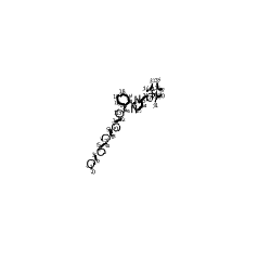 COCCOCCOCCOCCOC[C@H]1CCCC[C@@H]1c1nccc(CO[Si](C(C)C)(C(C)C)C(C)C)n1